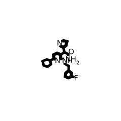 NC(=O)C(c1cccnc1)c1ccc(C2CCCCC2)nc1NCCc1cccc(F)c1